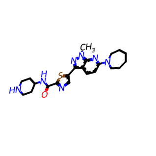 Cn1nc(-c2cnc(C(=O)NC3CCNCC3)s2)c2ccc(N3CCCCCC3)nc21